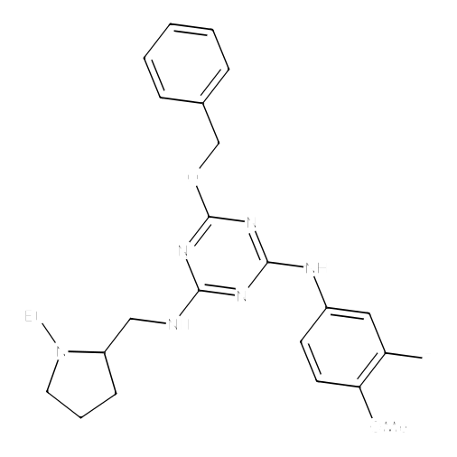 CCN1CCCC1CNc1nc(Nc2ccc(OC)c(F)c2)nc(OCc2ccccc2)n1